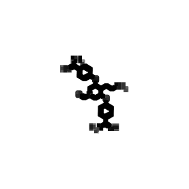 N=C(N)c1ccc(OC2CN(C=O)CC(Oc3ccc(C(=N)N)cc3)C2CCN)cc1